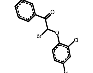 O=C(c1ccccc1)C(Br)Oc1ccc(Cl)cc1Cl